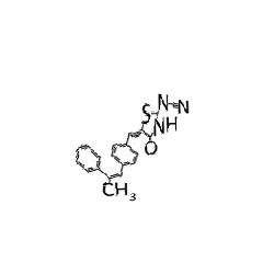 CC(=Cc1ccc(C=C2SC(=NC#N)NC2=O)cc1)c1ccccc1